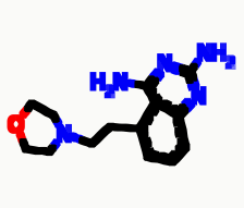 Nc1nc(N)c2c(CCN3CCOCC3)cccc2n1